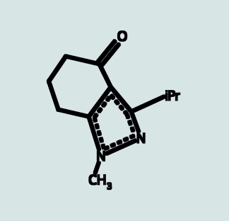 CC(C)c1nn(C)c2c1C(=O)CCC2